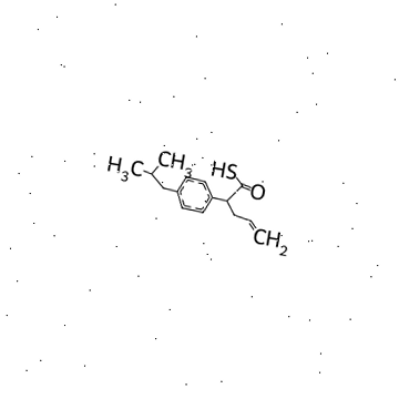 C=CCC(C(=O)S)c1ccc(CC(C)C)cc1